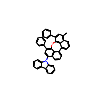 Cc1cc(-c2ccccc2)c2oc3c(-c4ccccc4)cc(-n4c5ccccc5c5ccccc54)c4cccc(c5cccc1c25)c43